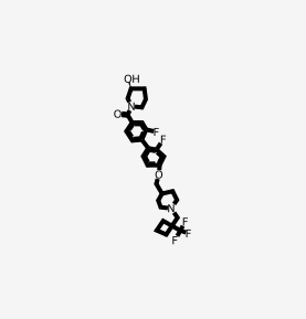 O=C(c1ccc(-c2ccc(OCC3CCN(CC4(C(F)(F)F)CCC4)CC3)cc2F)c(F)c1)N1CCC[C@@H](O)C1